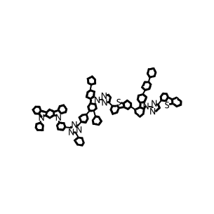 c1ccc(-c2ccc(-c3ccc4c5c(-c6ccc7sc8c(-c9ccnc(-n%10c%11cc(-c%12ccccc%12)ccc%11c%11cc(-c%12ccc(-c%13nc(-c%14ccccc%14)nc(-c%14cccc(-n%15c%16ccccc%16c%16cc%17c%18ccccc%18n(-c%18ccccc%18)c%17cc%16%15)c%14)n%13)cc%12)c(-c%12ccccc%12)cc%11%10)n9)cccc8c7c6)cccc5n(-c5nccc(-c6cccc7c6sc6ccccc67)n5)c4c3)cc2)cc1